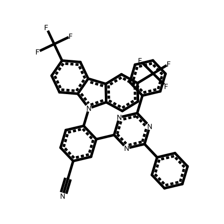 N#Cc1ccc(-n2c3ccc(C(F)(F)F)cc3c3cc(C(F)(F)F)ccc32)c(-c2nc(-c3ccccc3)nc(-c3ccccc3)n2)c1